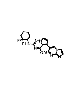 COc1nc(N[C@H]2CCCCC2(F)F)nn2ccc(-c3cnc4nccn4c3)c12